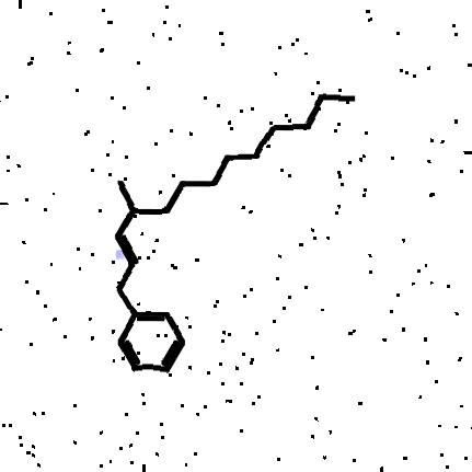 CCCCCCCCCC(C)/C=C/Cc1ccccc1